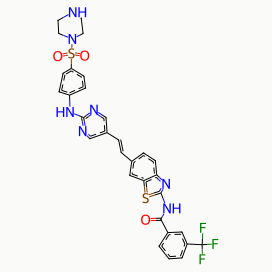 O=C(Nc1nc2ccc(C=Cc3cnc(Nc4ccc(S(=O)(=O)N5CCNCC5)cc4)nc3)cc2s1)c1cccc(C(F)(F)F)c1